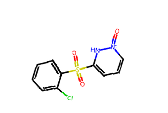 O=[n+]1cccc(S(=O)(=O)c2ccccc2Cl)[nH]1